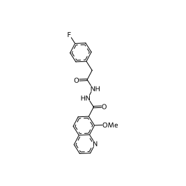 COc1c(C(=O)NNC(=O)Cc2ccc(F)cc2)ccc2cccnc12